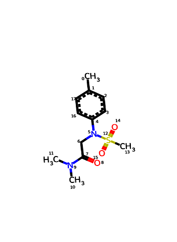 Cc1ccc(N(CC(=O)N(C)C)S(C)(=O)=O)cc1